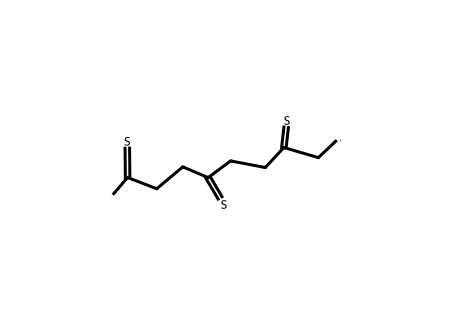 [CH2]CC(=S)CCC(=S)CCC(C)=S